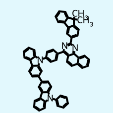 CC1(C)c2ccccc2-c2cc(-c3nc(-c4ccc(-n5c6ccccc6c6ccc(-c7ccc8c(c7)c7ccccc7n8-c7ccccc7)cc65)cc4)c4ccc5ccccc5c4n3)ccc21